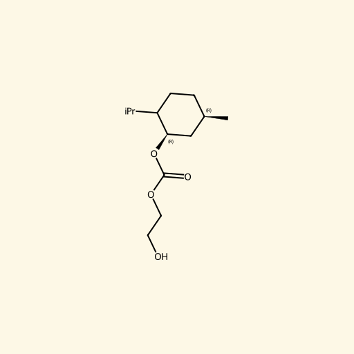 CC(C)C1CC[C@@H](C)C[C@H]1OC(=O)OCCO